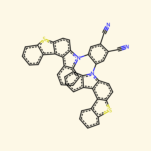 N#Cc1cc(-n2c3ccccc3c3c4c(ccc32)sc2ccccc24)c(-n2c3ccccc3c3c4c(ccc32)sc2ccccc24)cc1C#N